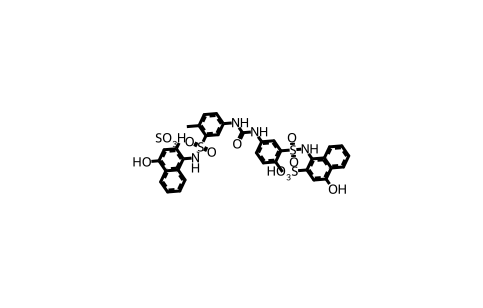 Cc1ccc(NC(=O)Nc2ccc(C)c(S(=O)(=O)Nc3c(S(=O)(=O)O)cc(O)c4ccccc34)c2)cc1S(=O)(=O)Nc1c(S(=O)(=O)O)cc(O)c2ccccc12